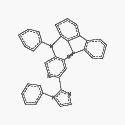 O=P12c3ccccc3-c3cccc(c31)N(c1ccccc1)c1cnc(-c3nccn3-c3ccccc3)cc12